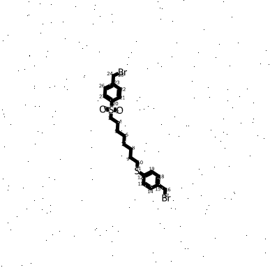 O=S(=O)(CCCCCCCCSc1ccc(CBr)cc1)c1ccc(CBr)cc1